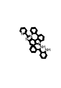 N=C1C=CC=C/C1=C(/Nn1c2cccc3c4ccccc4n4c(-c5ccccn5)nc5ccc1c(c32)c54)c1ccccc1